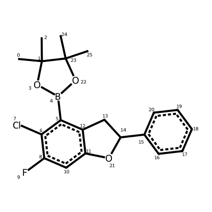 CC1(C)OB(c2c(Cl)c(F)cc3c2CC(c2ccccc2)O3)OC1(C)C